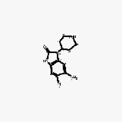 O=c1[nH]c2cc(Cl)c([N+](=O)[O-])cc2n1C1CCNCC1